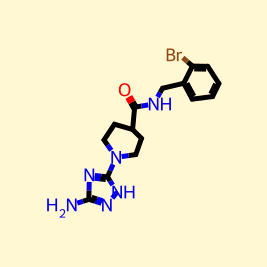 Nc1n[nH]c(N2CCC(C(=O)NCc3ccccc3Br)CC2)n1